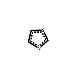 [c]1cn[c]s1